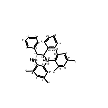 Cc1cc(C)c(N[C@H](c2ccccc2)[C@H](Nc2c(C)cc(C)cc2C)c2ccccc2)c(C)c1